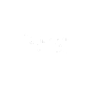 CO[C@@]1(CO)O[C@H](n2ccc(=O)[nH]c2=O)CC1F